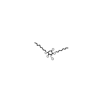 CCCCCCCCOC1CC(=O)C(OCCCCCCCC)C(=C=O)C1=O